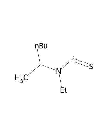 CCCCC(C)N([C]=S)CC